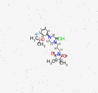 CC(C)Oc1c(F)cccc1N1CCN(CCCN2C(=O)C(C)C(C)C2=O)CC1.Cl